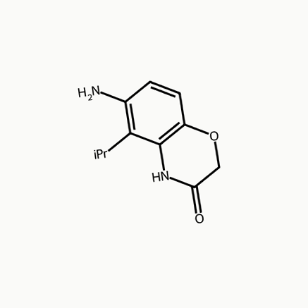 CC(C)c1c(N)ccc2c1NC(=O)CO2